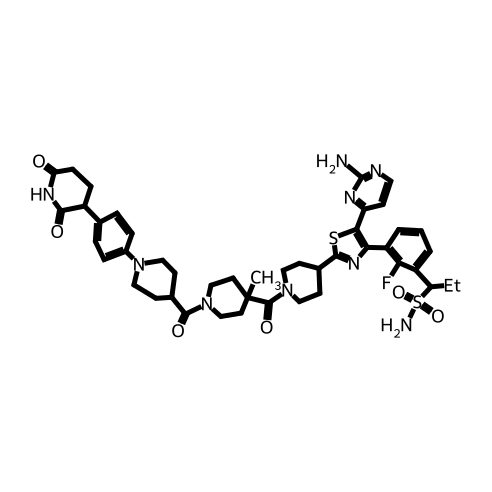 CCC(c1cccc(-c2nc(C3CCN(C(=O)C4(C)CCN(C(=O)C5CCN(c6ccc(C7CCC(=O)NC7=O)cc6)CC5)CC4)CC3)sc2-c2ccnc(N)n2)c1F)S(N)(=O)=O